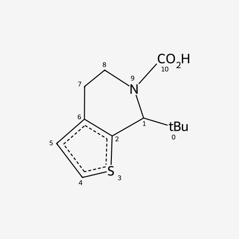 CC(C)(C)C1c2sccc2CCN1C(=O)O